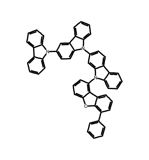 c1ccc(-c2cccc3c2oc2cccc(-n4c5ccccc5c5ccc(-n6c7ccccc7c7cc(-n8c9ccccc9c9ccccc98)ccc76)cc54)c23)cc1